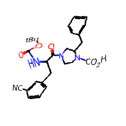 CC(C)(C)OC(=O)NC(Cc1cccc(C#N)c1)C(=O)N1CCN(C(=O)O)C(Cc2ccccc2)C1